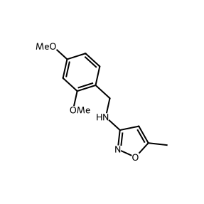 COc1ccc(CNc2cc(C)on2)c(OC)c1